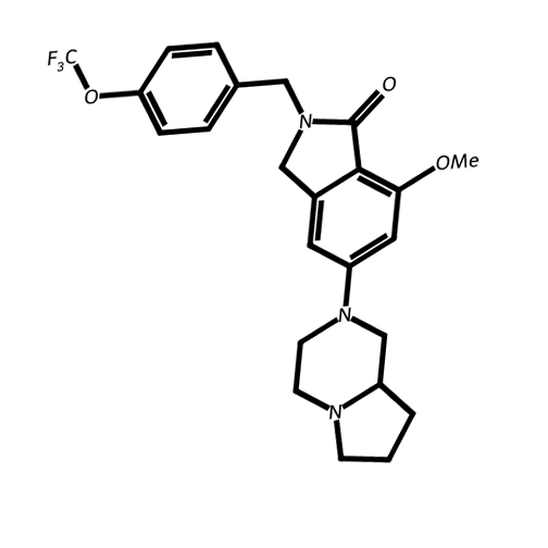 COc1cc(N2CCN3CCCC3C2)cc2c1C(=O)N(Cc1ccc(OC(F)(F)F)cc1)C2